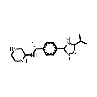 CC(C)C1NC(c2ccc([C@@H](C)NC3CNCCN3)cc2)NO1